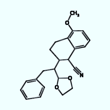 COc1cccc2c1CCC(C(Cc1ccccc1)C1OCCO1)C2C#N